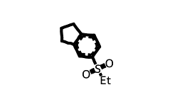 CCS(=O)(=O)c1ccc2c(c1)CCC2